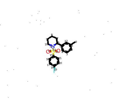 Cc1cccc(C2CCCCN2S(=O)(=O)c2ccc(F)cc2)c1